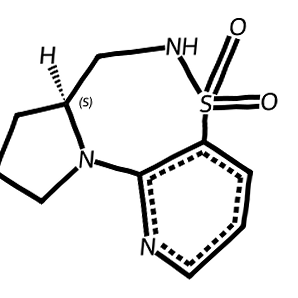 O=S1(=O)NC[C@@H]2CCCN2c2ncccc21